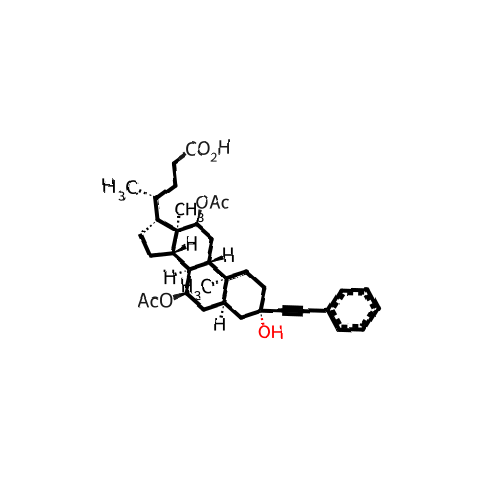 CC(=O)O[C@H]1C[C@H]2[C@@H]([C@H](OC(C)=O)C[C@@H]3C[C@](O)(C#Cc4ccccc4)CC[C@@]32C)[C@@H]2CC[C@H]([C@H](C)CCC(=O)O)[C@@]12C